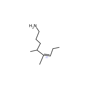 CC/C=C(/C)C(C)CCCN